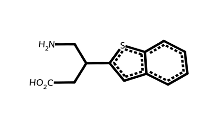 NCC(CC(=O)O)c1cc2ccccc2s1